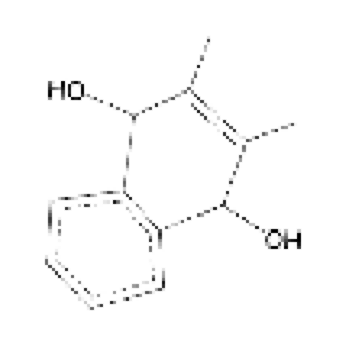 CC1=C(C)C(O)c2ccccc2C1O